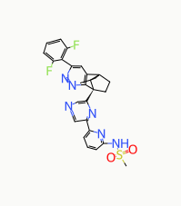 CC12CC13CC[C@]2(c1cncc(-c2cccc(NS(C)(=O)=O)n2)n1)c1nnc(-c2c(F)cccc2F)cc13